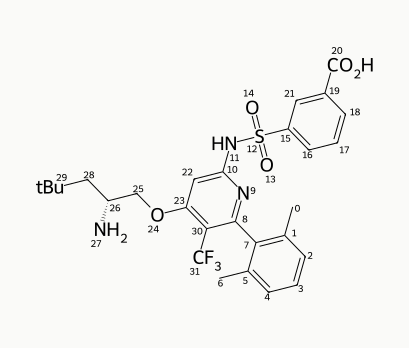 Cc1cccc(C)c1-c1nc(NS(=O)(=O)c2cccc(C(=O)O)c2)cc(OC[C@H](N)CC(C)(C)C)c1C(F)(F)F